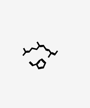 C=Cc1ccccc1.CC=C(C)C=CC=C(C)CCC=C(C)C